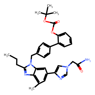 CCCc1nc2c(C)cc(-c3cn(CC(N)=O)cn3)cc2n1Cc1ccc(-c2ccccc2OC(=O)OC(C)(C)C)cc1